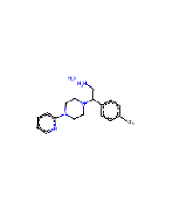 N.NCC(c1ccc(C(F)(F)F)cc1)N1CCN(c2ccccn2)CC1